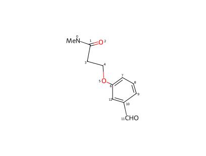 CNC(=O)CCOc1cccc(C=O)c1